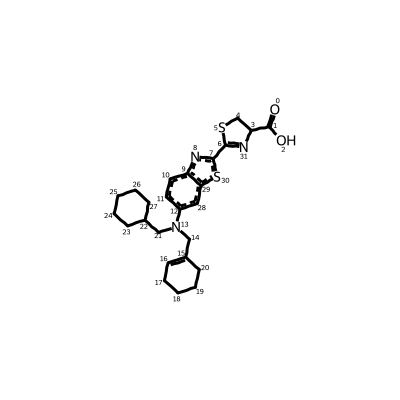 O=C(O)C1CSC(c2nc3ccc(N(CC4=CCCCC4)CC4CCCCC4)cc3s2)=N1